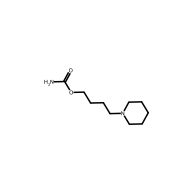 NC(=O)OCCCCN1CCCCC1